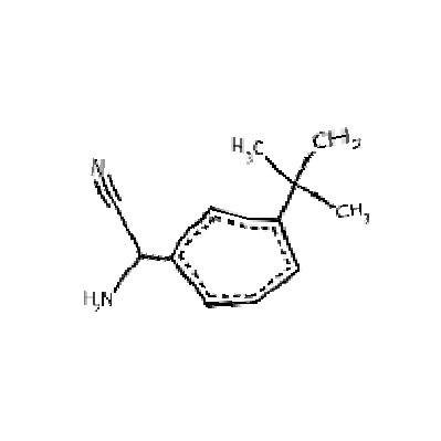 CC(C)(C)c1cccc(C(N)C#N)c1